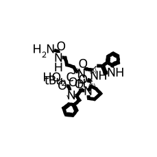 CN(C(=O)OC(C)(C)C)C(Cc1ccccc1)C(=O)N1CCCC[C@H]1C(=O)N[C@@H](Cc1c[nH]c2ccccc12)C(=O)N[C@@H](CCCNC(N)=O)C(=O)O